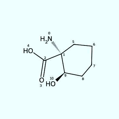 N[C@]1(C(=O)O)CCCC[C@H]1O